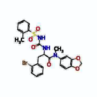 Cc1ccccc1S(=O)(=O)NC(=O)NC(Cc1ccccc1Br)C(=O)N(C)c1ccc2c(c1)OCO2